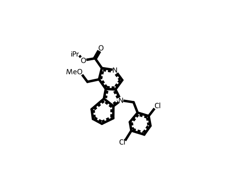 COCc1c(C(=O)OC(C)C)ncc2c1c1ccccc1n2Cc1cc(Cl)ccc1Cl